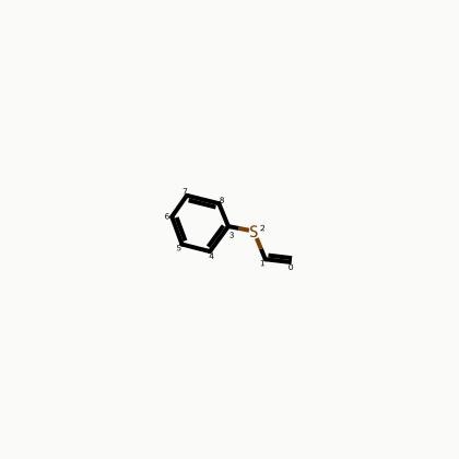 C=CSc1ccccc1